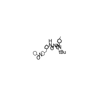 Cc1ccc(-n2nc(C(C)(C)C)cc2NC(=O)Nc2cccc(CC3CCN(C(=O)C4CCCCC4)CC3)c2)cc1